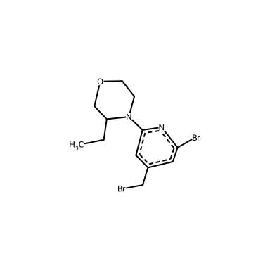 CCC1COCCN1c1cc(CBr)cc(Br)n1